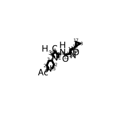 CC(=O)N1CCC(N2C[C@@H](C)[C@@H](NC(=O)c3cc(C4CC4)on3)C2)CC1